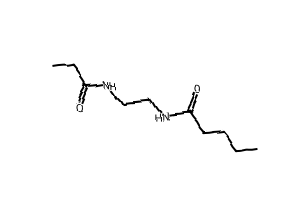 CCCCC(=O)NCCNC(=O)CC